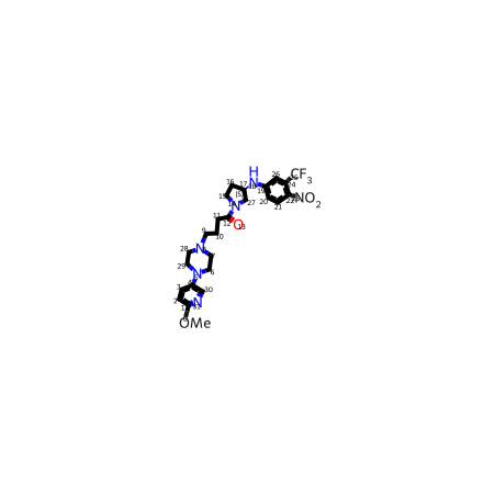 COc1ccc(N2CCN(CCCC(=O)N3CC[C@H](Nc4ccc([N+](=O)[O-])c(C(F)(F)F)c4)C3)CC2)cn1